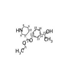 CCOC(=O)[C@@H]1CNCC[C@@H]1c1ccc(C(C)O)cc1